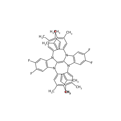 Cc1ccc(N2/C(=C3/N(c4ccc(C)c(C)c4)c4cc(F)c(F)cc4N3c3cc(C)c(C)c(C)c3)N(c3cc(C)c(C)c(C)c3)c3cc(F)c(F)cc32)cc1C